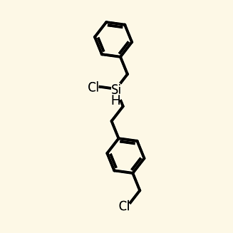 ClCc1ccc(CC[SiH](Cl)Cc2ccccc2)cc1